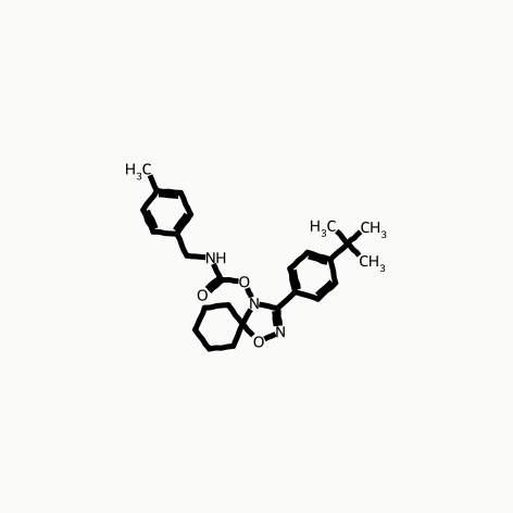 Cc1ccc(CNC(=O)ON2C(c3ccc(C(C)(C)C)cc3)=NOC23CCCCC3)cc1